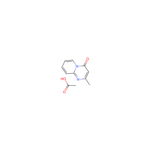 CC(=O)O.Cc1cc(=O)n2ccccc2n1